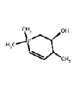 CC1C=C[N+](C)(C)C[C@H]1O